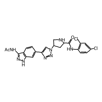 CC(=O)Nc1n[nH]c2cc(-c3cn(C4CNC(C(=O)Nc5ccc(Cl)cc5Cl)C4)nn3)ccc12